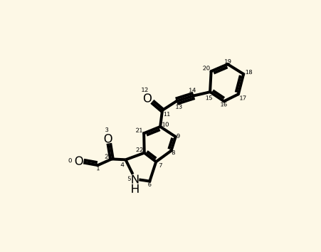 O=CC(=O)C1NCc2ccc(C(=O)C#Cc3ccccc3)cc21